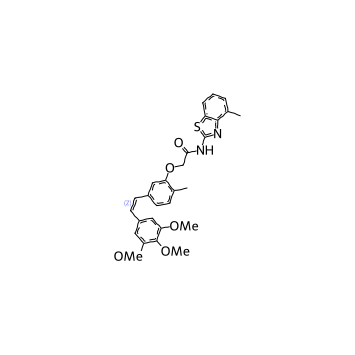 COc1cc(/C=C\c2ccc(C)c(OCC(=O)Nc3nc4c(C)cccc4s3)c2)cc(OC)c1OC